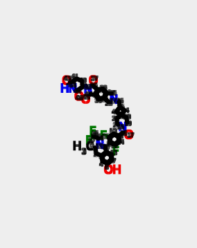 C[C@@H]1Cc2cc(O)ccc2[C@@H](c2c(F)cc(C(=O)N3CCC4(CC3)CC(CN3Cc5cc6c(cc5C3)C(=O)N(C3CCC(=O)NC3=O)C6=O)C4)cc2F)N1CC(F)F